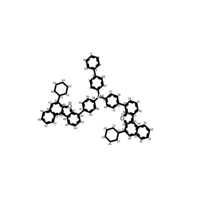 c1ccc(-c2ccc(N(c3ccc(-c4cccc5c4oc4c(C6CCCCC6)cc6ccccc6c45)cc3)c3ccc(-c4cccc5c4oc4c(C6CCCCC6)cc6ccccc6c45)cc3)cc2)cc1